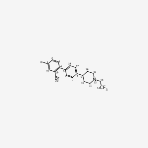 Cc1ccc(-c2ccc(C3CCN(CC(F)(F)F)CC3)cc2)c(Br)c1